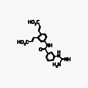 N=C(N)Nc1cccc(C(=O)Nc2ccc(C=CC(=O)O)c(C=CC(=O)O)c2)c1